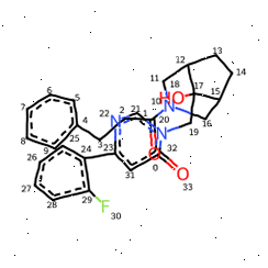 O=C(CCc1ccccc1)N1CC2CCC(C1)C2(O)Cn1cnc(-c2ccccc2F)cc1=O